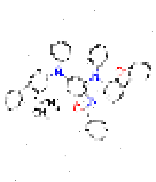 CC1(C)c2ccccc2-c2ccc(N(c3ccccc3)c3cc(N(c4ccccc4)c4cccc5c4oc4ccccc45)c4nc(-c5ccccc5)oc4c3)cc21